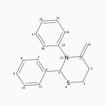 C=C1CCSC(c2ccccc2)N1c1ccccc1